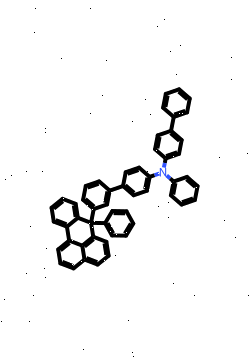 c1ccc(-c2ccc(N(c3ccccc3)c3ccc(-c4cccc(C5(c6ccccc6)c6ccccc6-c6cccc7cccc5c67)c4)cc3)cc2)cc1